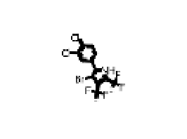 FC(F)(F)c1[nH]c(-c2ccc(Cl)c(Cl)c2)c(Br)c1C(F)(F)F